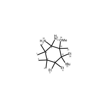 CCC1(CC)C(C)(C)C(C)(C)C(N)(N)C(C)(OC)C1(CC)C(C)(C)C